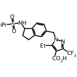 CCc1c(C(=O)O)c(C(F)(F)F)nn1Cc1ccc2c(c1)CCC2NS(=O)(=O)C(C)C